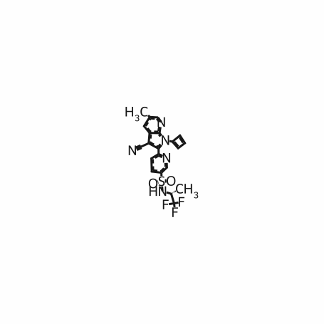 Cc1cnc2c(c1)c(C#N)c(-c1ccc(S(=O)(=O)N[C@H](C)C(F)(F)F)cn1)n2C1=CC=C1